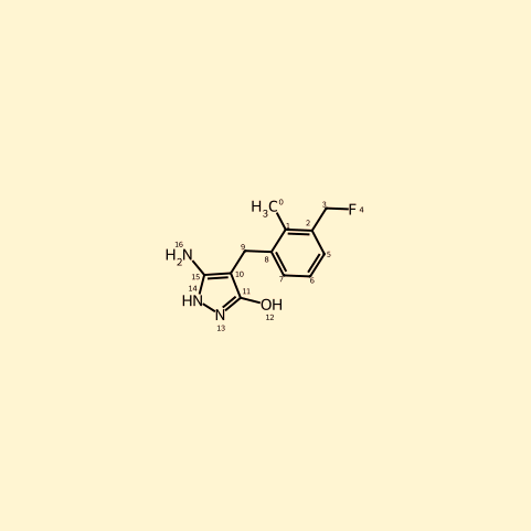 Cc1c(CF)cccc1Cc1c(O)n[nH]c1N